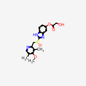 COc1c(C)cnc(C[S+]([O-])c2nc3cc(OC(=O)CO)ccc3[nH]2)c1C